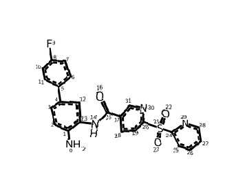 Nc1ccc(-c2ccc(F)cc2)cc1NC(=O)c1ccc(S(=O)(=O)c2ccccn2)nc1